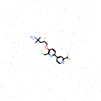 C[C@H](COc1ccc(-c2ccnc(C(F)F)c2)nc1CF)CC(C)(C)N